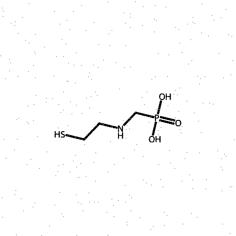 O=P(O)(O)CNCCS